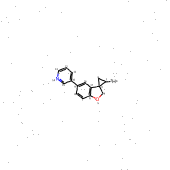 [2H]C1CC12COc1ccc(-c3cccnc3)cc12